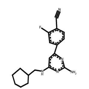 N#Cc1ccc(-c2cc(NCC3CCCCC3)nc(N)n2)cc1F